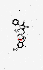 Cn1c(CN2CC[C@@]34CCCCC3[C@@H]2Cc2ccc(O)cc24)c(Br)c(=O)n1-c1ccccc1